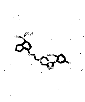 COc1ccc(Cl)cc1-c1nnc2n1CCN(CCOc1ccc(N(C(=O)O)C(C)(C)C)c3c1CCC3)C2